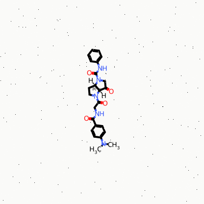 CN(C)c1ccc(C(=O)NCC(=O)N2CC[C@@H]3[C@H]2C(=O)CN3C(=O)Nc2ccccc2)cc1